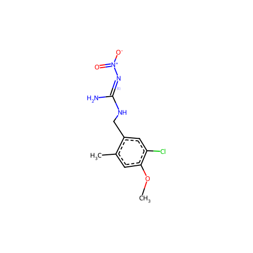 COc1cc(C)c(CN/C(N)=N/[N+](=O)[O-])cc1Cl